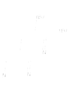 CC(C)(C)c1cc2cncnc2nc1C(C)(C)C